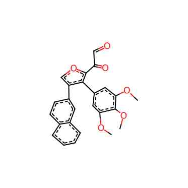 COc1cc(-c2c(-c3ccc4ccccc4c3)coc2C(=O)C=O)cc(OC)c1OC